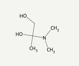 CN(C)C(C)(O)CO